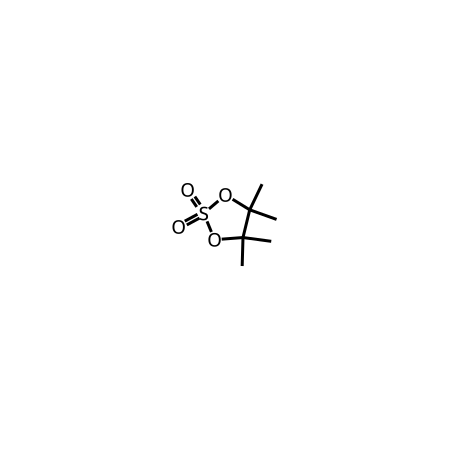 CC1(C)OS(=O)(=O)OC1(C)C